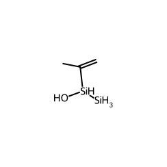 C=C(C)[SiH](O)[SiH3]